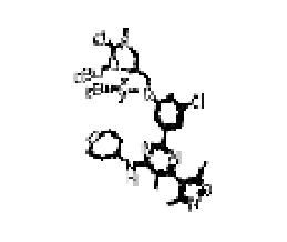 Cc1noc(C)c1-c1nc(-c2cc(Cl)cc(OCC(CN(C)C(=O)OC(C)(C)C)O[Si](C)(C)C(C)(C)C)c2)nc(NC2CCOCC2)c1C